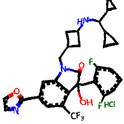 Cl.O=C1N(CC2CC(NC(C3CC3)C3CC3)C2)c2cc(-c3ncco3)cc(C(F)(F)F)c2C1(O)c1c(F)cccc1F